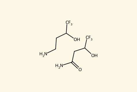 NC(=O)CC(O)C(F)(F)F.NCCC(O)C(F)(F)F